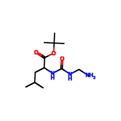 CC(C)CC(NC(=O)NCN)C(=O)OC(C)(C)C